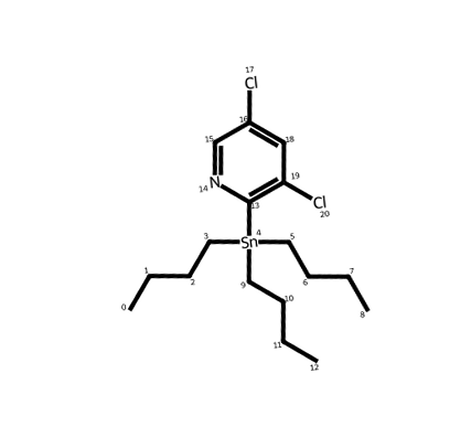 CCC[CH2][Sn]([CH2]CCC)([CH2]CCC)[c]1ncc(Cl)cc1Cl